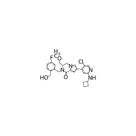 COCC1Cn2cc(-c3cc(NC4CCC4)ncc3Cl)cc2C(=O)N1Cc1cc(F)ccc1CO